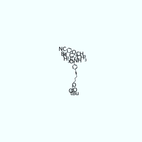 CC(C)(C)OC(=O)COCCCCC#Cc1ccc(C(=O)N[C@H]2C(C)(C)[C@H](Oc3ccc(C#N)c(Br)c3)C2(C)C)cc1